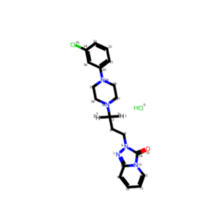 Cl.[2H]C([2H])(CCn1nc2ccccn2c1=O)N1CCN(c2cccc(Cl)c2)CC1